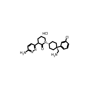 Cl.NC[C@]1(c2cccc(Cl)c2)CC[C@@H](N2CCCC(c3ccc(N)nn3)C2=O)CC1